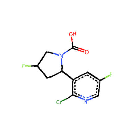 O=C(O)N1CC(F)CC1c1cc(F)cnc1Cl